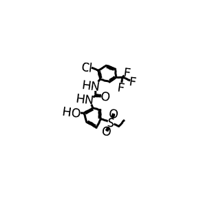 CCS(=O)(=O)c1ccc(O)c(NC(=O)Nc2cc(C(F)(F)F)ccc2Cl)c1